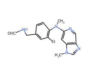 CCc1cc(CNC=O)ccc1N(C)c1cc2c(cn1)ncn2C